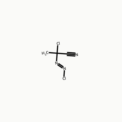 CC(Cl)(C#N)N=NCl